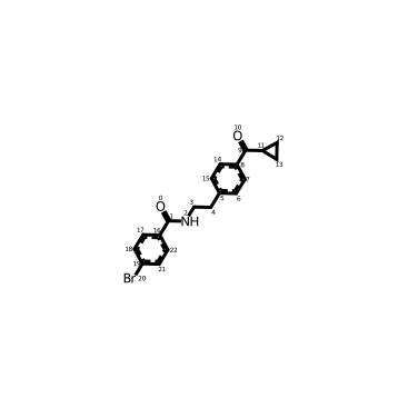 O=C(NCCc1ccc(C(=O)C2CC2)cc1)c1ccc(Br)cc1